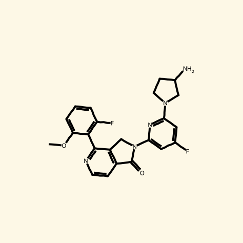 COc1cccc(F)c1-c1nccc2c1CN(c1cc(F)cc(N3CCC(N)C3)n1)C2=O